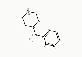 Cl.c1cnnc(NC2CCNCC2)c1